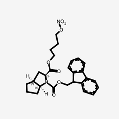 O=C(OCCCCO[N+](=O)[O-])[C@@H]1C[C@@H]2CCC[C@@H]2N1C(=O)OCC1c2ccccc2-c2ccccc21